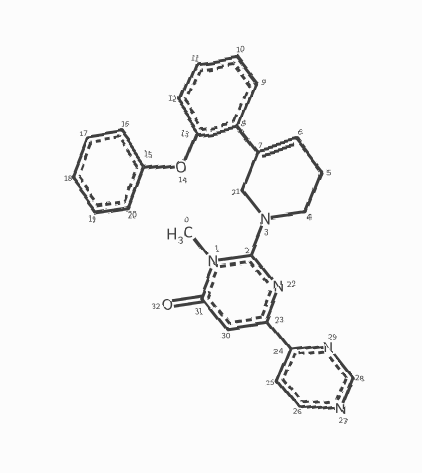 Cn1c(N2CCC=C(c3ccccc3Oc3ccccc3)C2)nc(-c2ccncn2)cc1=O